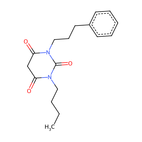 CCCCN1C(=O)CC(=O)N(CCCc2ccccc2)C1=O